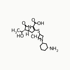 CC(O)[C@H]1C(=O)N2C(C(=O)O)=C(SC3CN([C@@H]4CCC[C@@H](N)C4)C3)[C@H](C)[C@H]12